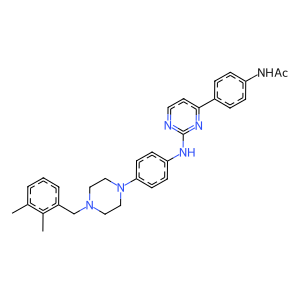 CC(=O)Nc1ccc(-c2ccnc(Nc3ccc(N4CCN(Cc5cccc(C)c5C)CC4)cc3)n2)cc1